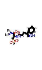 CCN(C#N)C(=O)C(CS(C)(=O)=O)NC(=O)CCc1c[nH]c2ccccc12